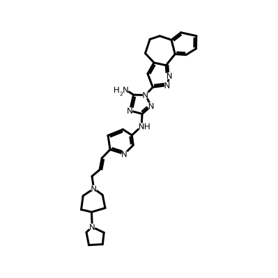 Nc1nc(Nc2ccc(/C=C/CN3CCC(N4CCCC4)CC3)nc2)nn1-c1cc2c(nn1)-c1ccccc1CCC2